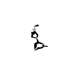 CO[C@H]1CCN(c2cncc(C)n2)C1